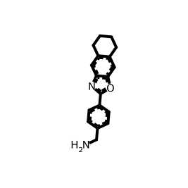 NCc1ccc(-c2nc3cc4c(cc3o2)CCCC4)cc1